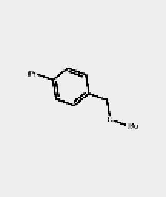 CC(C)c1ccc(COC(C)(C)C)cc1